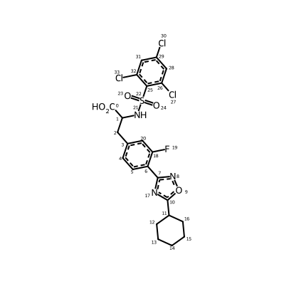 O=C(O)C(Cc1ccc(-c2noc(C3CCCCC3)n2)c(F)c1)NS(=O)(=O)c1c(Cl)cc(Cl)cc1Cl